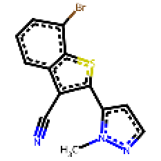 Cn1nccc1-c1sc2c(Br)cccc2c1C#N